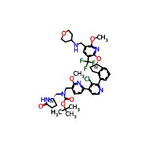 COc1nc(-c2ccnc(-c3cccc4c3CC[C@@H]4Oc3nc(OC)c(CNC4CCOCC4)cc3C(F)(F)F)c2Cl)ccc1CN(C[C@@H]1CCC(=O)N1)C(=O)OC(C)(C)C